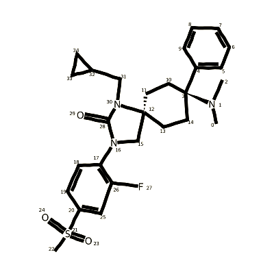 CN(C)[C@]1(c2ccccc2)CC[C@]2(CC1)CN(c1ccc(S(C)(=O)=O)cc1F)C(=O)N2CC1CC1